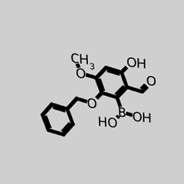 COc1cc(O)c(C=O)c(B(O)O)c1OCc1ccccc1